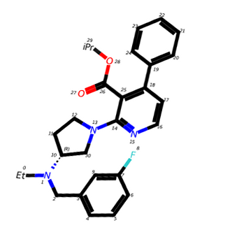 CCN(Cc1cccc(F)c1)[C@@H]1CCN(c2nccc(-c3ccccc3)c2C(=O)OC(C)C)C1